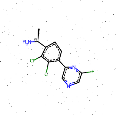 C[C@H](N)c1ccc(-c2cncc(F)n2)c(Cl)c1Cl